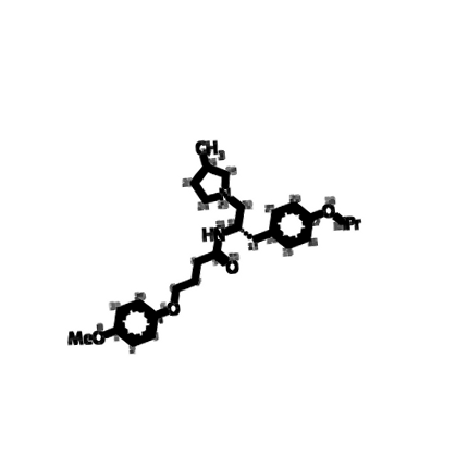 COc1ccc(OCCCC(=O)N[C@@H](Cc2ccc(OC(C)C)cc2)CN2CCC(C)C2)cc1